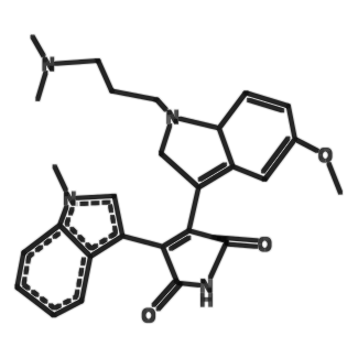 COC1=CC2=C(C3=C(c4cn(C)c5ccccc45)C(=O)NC3=O)CN(CCCN(C)C)C2C=C1